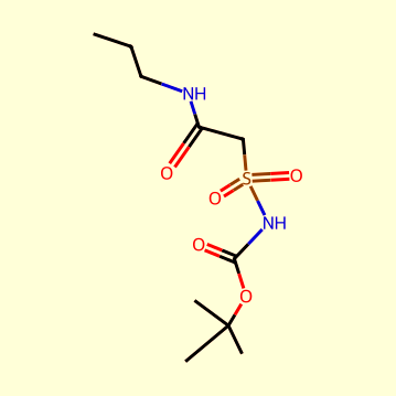 CCCNC(=O)CS(=O)(=O)NC(=O)OC(C)(C)C